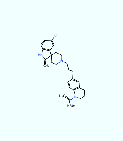 C=C(NC)N1CCCc2cc(CCCN3CCC4(CC3)C(=C)Nc3ccc(Cl)cc34)ccc21